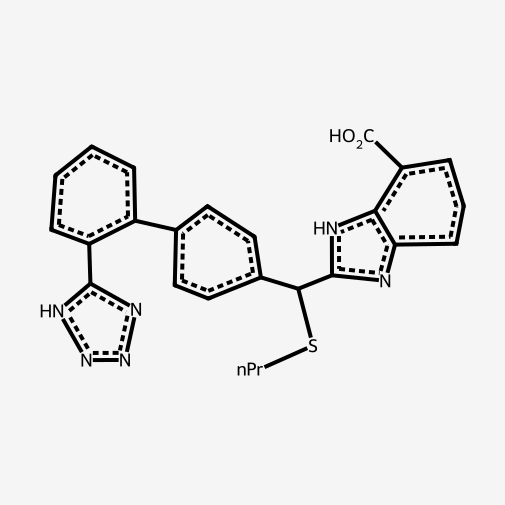 CCCSC(c1ccc(-c2ccccc2-c2nnn[nH]2)cc1)c1nc2cccc(C(=O)O)c2[nH]1